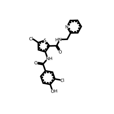 O=C(Nc1cc(Cl)sc1C(=O)NCc1ccccn1)c1ccc(O)c(Cl)c1